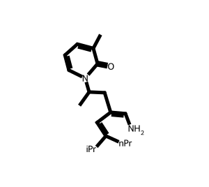 CCC/C(=C\C(=C/N)CC(C)n1cccc(C)c1=O)C(C)C